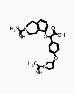 CC(=N)N1CCC(Oc2ccc(C(Oc3cccc4c3CCN(C(=N)N)CC4)C(=O)O)cc2)C1